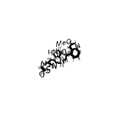 COc1cnc2cccc([C@@H](O)CN(Cc3ccc4ncc(=O)sc4n3)C3CCNCC3)c2c1